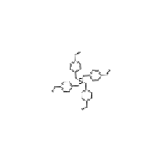 C=Cc1ccc(C[Si](Cc2ccc(C=C)cc2)(Cc2ccc(C=C)cc2)Cc2ccc(C=C)cc2)cc1